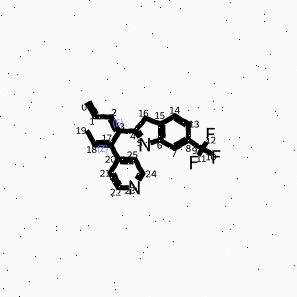 C=C/C=C(C1=Nc2cc(C(F)(F)F)ccc2C1)\C(=C/C)c1ccncc1